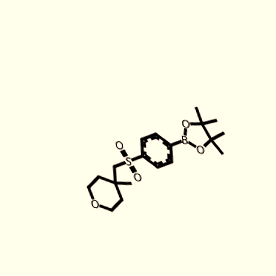 CC1(CS(=O)(=O)c2ccc(B3OC(C)(C)C(C)(C)O3)cc2)CCOCC1